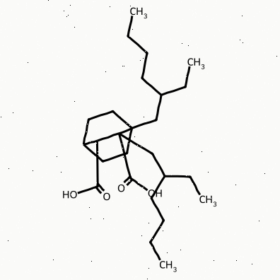 CCCCC(CC)CC12CCC(CC1)C(C(=O)O)C2(CC(CC)CCCC)C(=O)O